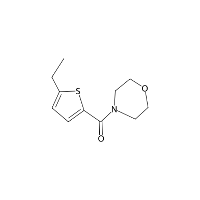 CCc1ccc(C(=O)N2CCOCC2)s1